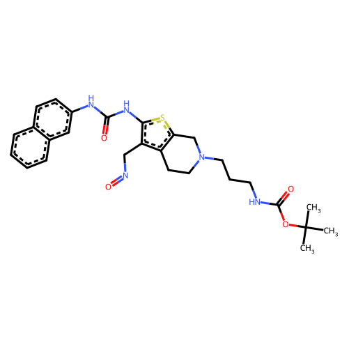 CC(C)(C)OC(=O)NCCCN1CCc2c(sc(NC(=O)Nc3ccc4ccccc4c3)c2CN=O)C1